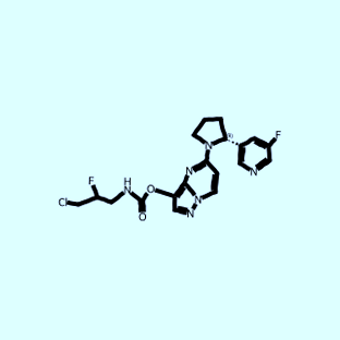 O=C(NCC(F)CCl)Oc1cnn2ccc(N3CCC[C@@H]3c3cncc(F)c3)nc12